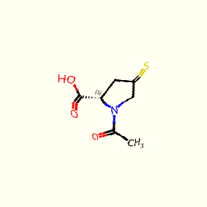 CC(=O)N1CC(=S)C[C@H]1C(=O)O